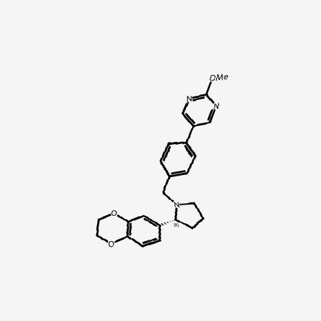 COc1ncc(-c2ccc(CN3CCC[C@@H]3c3ccc4c(c3)OCCO4)cc2)cn1